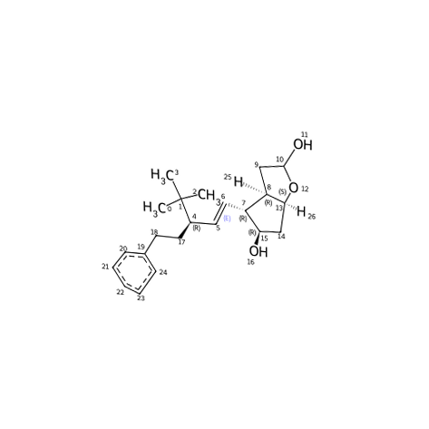 CC(C)(C)[C@@H](/C=C/[C@@H]1[C@H]2CC(O)O[C@H]2C[C@H]1O)CCc1ccccc1